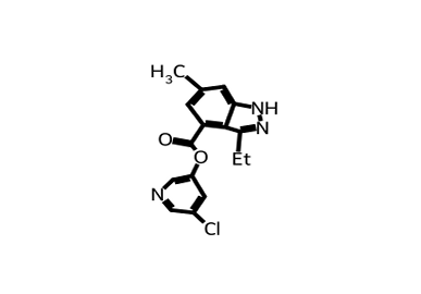 CCc1n[nH]c2cc(C)cc(C(=O)Oc3cncc(Cl)c3)c12